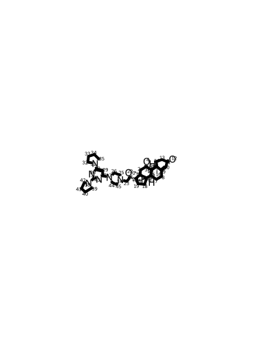 C[C@]12CC(=O)[C@H]3[C@@H](CCC4=CC(=O)CC[C@@]43C)[C@@H]1CC[C@@H]2C(=O)CN1CCN(c2cc(N3CCCC3)nc(N3CCCC3)n2)CC1